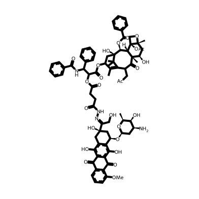 COc1cccc2c1C(=O)c1c(O)c3c(c(O)c1C2=O)C[C@](O)(/C(CO)=N/NC(=O)CCC(=O)OC(C(=O)OC1C[C@]2(O)[C@@H](OC(=O)c4ccccc4)[C@H]4[C@@](C)(C(=O)C(CC(C)=O)C(=C1C)C2(C)C)[C@H](O)C[C@@]1(C)OC[C@@]41OC(C)=O)C(NC(=O)c1ccccc1)c1ccccc1)C[C@H]3O[C@@H]1C[C@H](N)[C@H](O)[C@H](C)O1